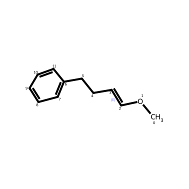 CO/C=C/CCc1cc[c]cc1